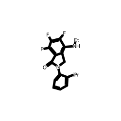 CCNc1c(F)c(F)c(F)c2c1CN(c1ccccc1C(C)C)C2=O